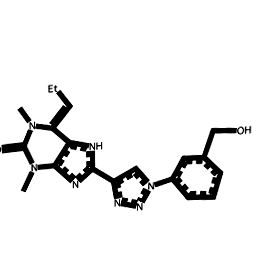 CC/C=C1/c2[nH]c(-c3cn(-c4cccc(CO)c4)nn3)nc2N(C)C(=O)N1C